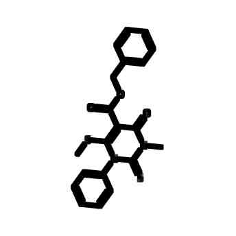 CSc1c(C(=O)OCc2ccccc2)c(=O)n(C)c(=S)n1-c1ccccc1